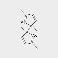 CC1=[As]C(C)(C2(C)C=CC(C)=[As]2)C=C1